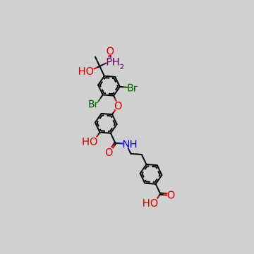 CC(O)([PH2]=O)c1cc(Br)c(Oc2ccc(O)c(C(=O)NCCc3ccc(C(=O)O)cc3)c2)c(Br)c1